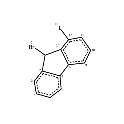 BrC1c2ccccc2-c2cccc(I)c21